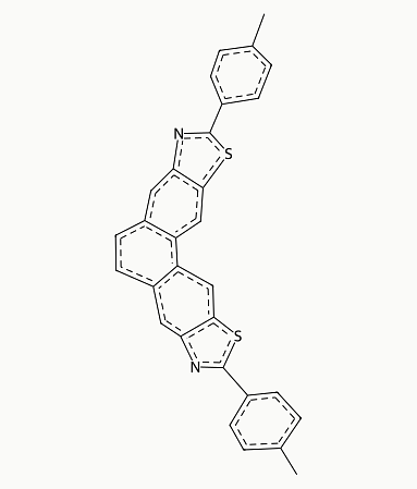 Cc1ccc(-c2nc3cc4ccc5cc6nc(-c7ccc(C)cc7)sc6cc5c4cc3s2)cc1